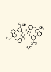 CCOC(=O)c1cc(F)cc(-c2cccc3c(C)c(Cc4cccc(C(F)(F)F)c4)sc23)c1.Cc1c(Cc2cccc(C(F)(F)F)c2)sc2c(-c3cc(F)cc(C(=O)O)c3)cccc12